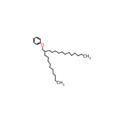 CCCCCCCCCCCCC(CCCCCCCCCC)COc1cc[c]cc1